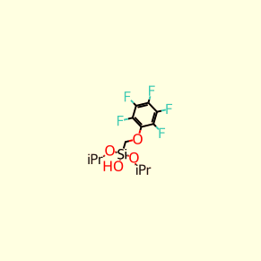 CC(C)O[Si](O)(COc1c(F)c(F)c(F)c(F)c1F)OC(C)C